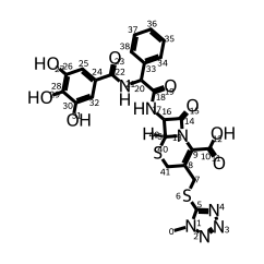 Cn1nnnc1SCC1=C(C(=O)O)N2C(=O)C(NC(=O)C(NC(=O)c3cc(O)c(O)c(O)c3)c3ccccc3)[C@H]2SC1